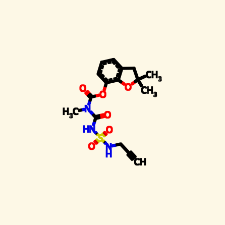 C#CCNS(=O)(=O)NC(=O)N(C)C(=O)Oc1cccc2c1OC(C)(C)C2